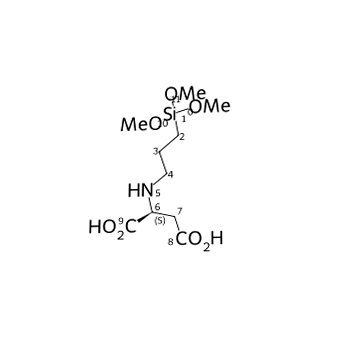 CO[Si](CCCN[C@@H](CC(=O)O)C(=O)O)(OC)OC